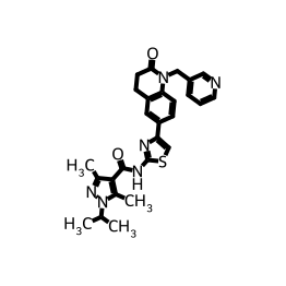 Cc1nn(C(C)C)c(C)c1C(=O)Nc1nc(-c2ccc3c(c2)CCC(=O)N3Cc2cccnc2)cs1